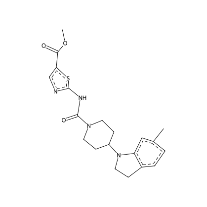 COC(=O)c1cnc(NC(=O)N2CCC(N3CCc4ccc(C)cc43)CC2)s1